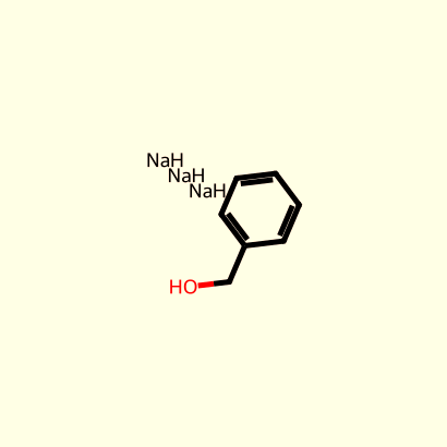 OCc1ccccc1.[NaH].[NaH].[NaH]